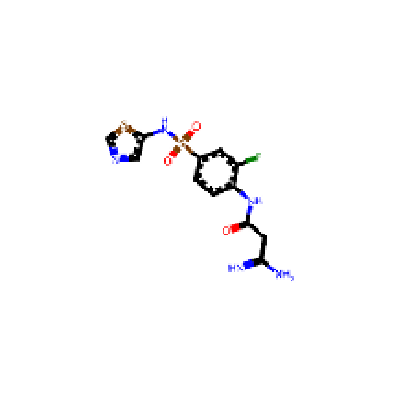 N=C(N)CC(=O)Nc1ccc(S(=O)(=O)Nc2cncs2)cc1F